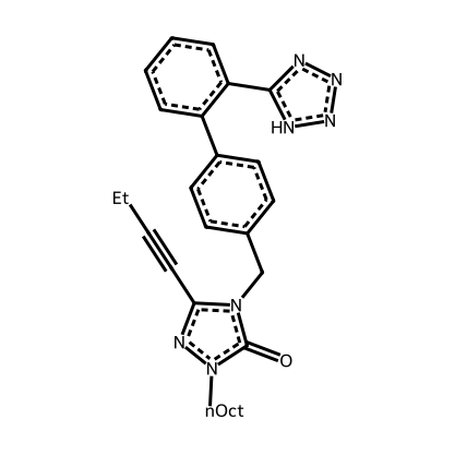 CCC#Cc1nn(CCCCCCCC)c(=O)n1Cc1ccc(-c2ccccc2-c2nnn[nH]2)cc1